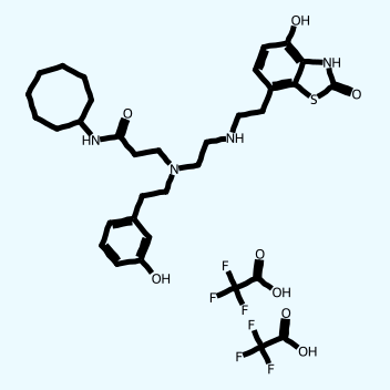 O=C(CCN(CCNCCc1ccc(O)c2[nH]c(=O)sc12)CCc1cccc(O)c1)NC1CCCCCCC1.O=C(O)C(F)(F)F.O=C(O)C(F)(F)F